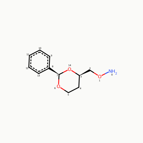 NOC[C@H]1CCO[C@@H](c2ccccc2)O1